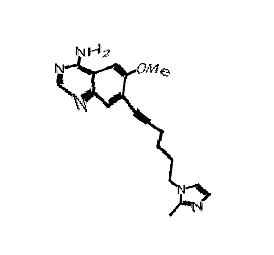 COc1cc2c(N)ncnc2cc1C#CCCCCn1ccnc1C